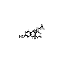 Oc1ccc2c(c1)C[C@@H]1CCCN(CC3CC3)[C@@H]1C2